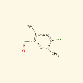 Cc1cc(C=O)c(C)cc1Cl